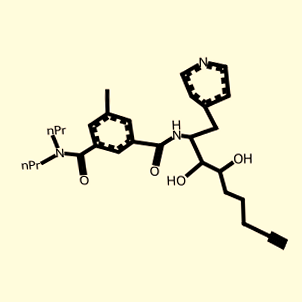 C#CCCCC(O)C(O)C(Cc1ccncc1)NC(=O)c1cc(C)cc(C(=O)N(CCC)CCC)c1